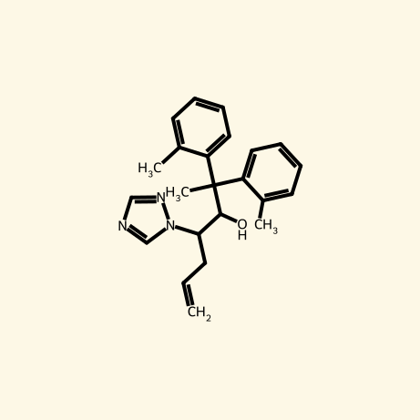 C=CCC(C(O)C(C)(c1ccccc1C)c1ccccc1C)n1cncn1